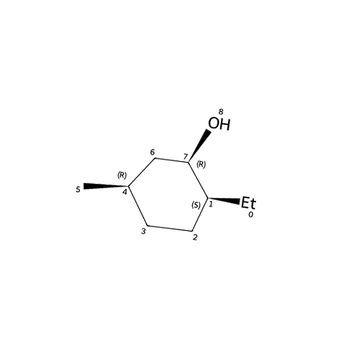 CC[C@H]1CC[C@@H](C)C[C@H]1O